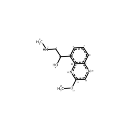 CNCC(O)c1cccc2ncc(OC)nc12